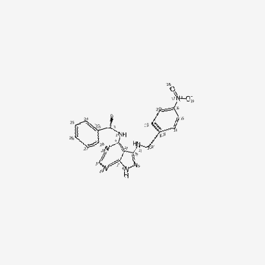 C[C@@H](Nc1ncnc2[nH]nc(NCc3ccc([N+](=O)[O-])cc3)c12)c1ccccc1